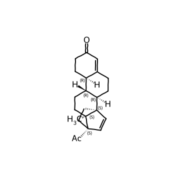 CC(=O)[C@]12C=C[C@]3(CC1)[C@@H]1CCC4=CC(=O)CC[C@@H]4[C@H]1CC[C@]23C